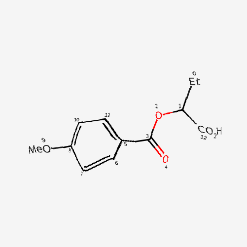 CCC(OC(=O)c1ccc(OC)cc1)C(=O)O